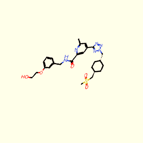 Cc1cc(-c2nnn(C[C@H]3CC[C@H](CS(C)(=O)=O)CC3)n2)cc(C(=O)NCc2cccc(OCCO)c2)n1